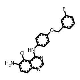 Nc1ccc2ncnc(Nc3ccc(OCc4cccc(F)c4)cc3)c2c1Cl